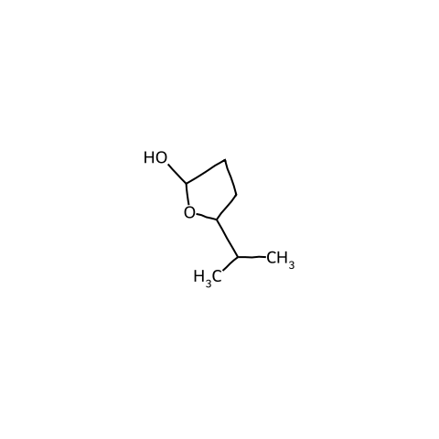 CC(C)C1CCC(O)O1